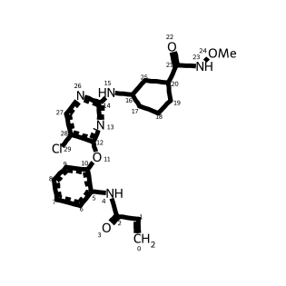 C=CC(=O)Nc1ccccc1Oc1nc(NC2CCCC(C(=O)NOC)C2)ncc1Cl